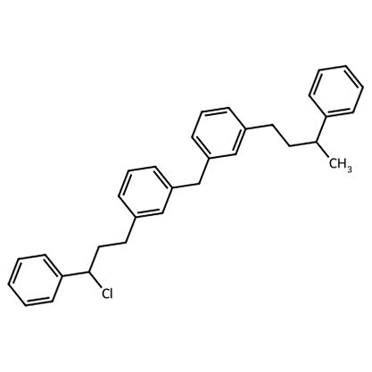 CC(CCc1cccc(Cc2cccc(CCC(Cl)c3ccccc3)c2)c1)c1ccccc1